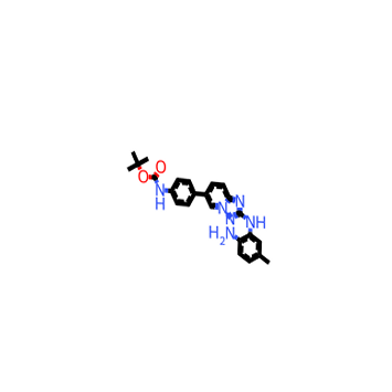 Cc1ccc(N)c(Nc2nc3ccc(-c4ccc(NC(=O)OC(C)(C)C)cc4)cn3n2)c1